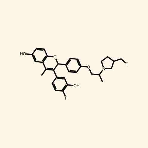 CC1=C(c2ccc(F)c(O)c2)C(c2ccc(OCC(C)N3CCC(CF)C3)cc2)Oc2ccc(O)cc21